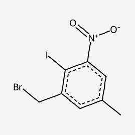 Cc1cc(CBr)c(I)c([N+](=O)[O-])c1